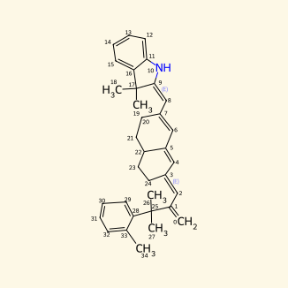 C=C(/C=C1/C=C2C=C(/C=C3/Nc4ccccc4C3(C)C)CCC2CC1)C(C)(C)c1ccccc1C